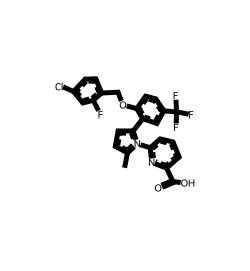 Cc1ccc(-c2cc(C(F)(F)F)ccc2OCc2ccc(Cl)cc2F)n1-c1cccc(C(=O)O)n1